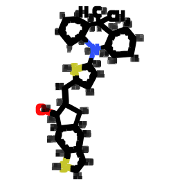 CC1(C)c2ccccc2N(c2ccc(/C=C3\Cc4cc5ccsc5cc4C3=O)s2)c2ccccc21